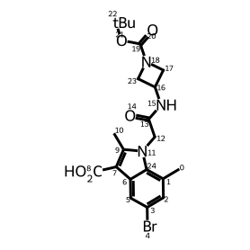 Cc1cc(Br)cc2c(C(=O)O)c(C)n(CC(=O)NC3CN(C(=O)OC(C)(C)C)C3)c12